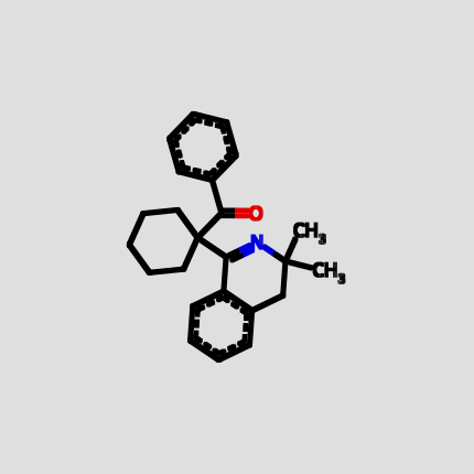 CC1(C)Cc2ccccc2C(C2(C(=O)c3ccccc3)CCCCC2)=N1